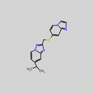 CC(C)c1ccn2nc(CSc3ccn4ccnc4c3)nc2c1